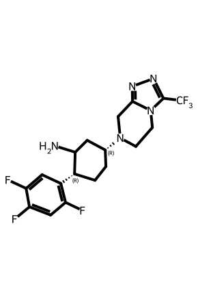 NC1C[C@H](N2CCn3c(nnc3C(F)(F)F)C2)CC[C@@H]1c1cc(F)c(F)cc1F